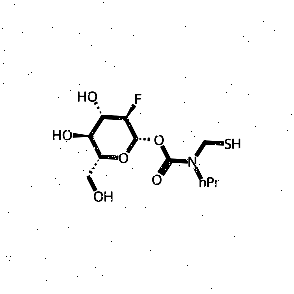 CCCN(CS)C(=O)O[C@@H]1O[C@H](CO)[C@@H](O)[C@H](O)[C@H]1F